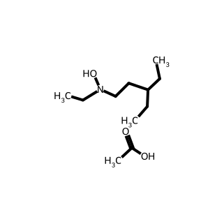 CC(=O)O.CCC(CC)CCN(O)CC